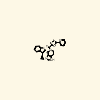 O=C(c1nnc(-c2ccccn2)o1)N1CCc2[nH]cnc2[C@@H]1c1oc2ccccc2c1C1CC1